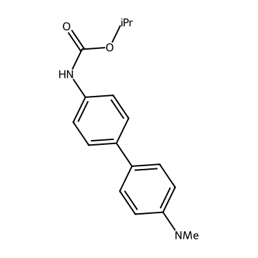 CNc1ccc(-c2ccc(NC(=O)OC(C)C)cc2)cc1